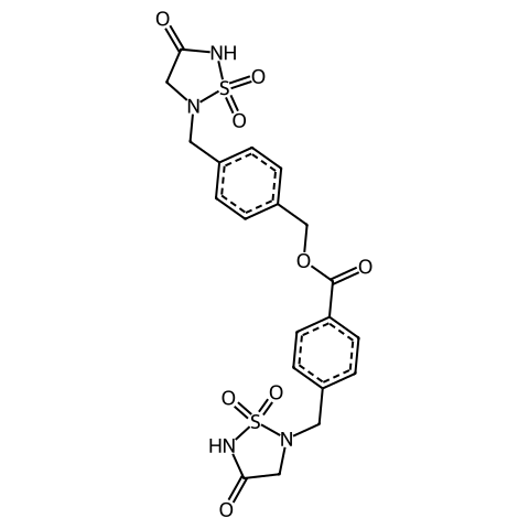 O=C1CN(Cc2ccc(COC(=O)c3ccc(CN4CC(=O)NS4(=O)=O)cc3)cc2)S(=O)(=O)N1